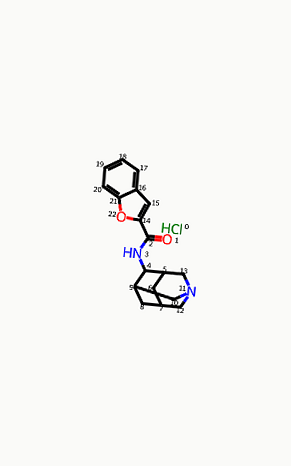 Cl.O=C(NC1C2CC3CC1CN(C3)C2)c1cc2ccccc2o1